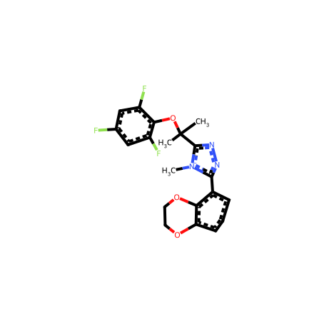 Cn1c(-c2cccc3c2OCCO3)nnc1C(C)(C)Oc1c(F)cc(F)cc1F